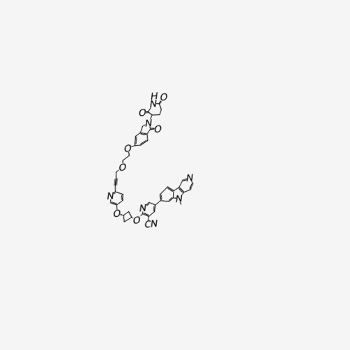 Cn1c2ccncc2c2ccc(-c3cnc(O[C@H]4C[C@H](Oc5ccc(C#CCOCCOc6ccc7c(c6)CN(C6CCC(=O)NC6=O)C7=O)nc5)C4)c(C#N)c3)cc21